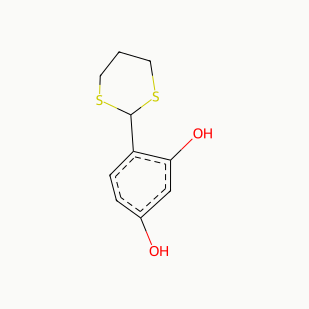 Oc1ccc(C2SCCCS2)c(O)c1